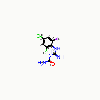 N=C(NC(N)=O)Nc1c(Cl)cc(Cl)cc1I